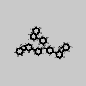 c1cc(-c2ccc3sc4ccccc4c3c2)cc(N(c2ccc(-c3cccc4c3sc3ccccc34)cc2)c2cccc(-c3cccc4ccccc34)c2)c1